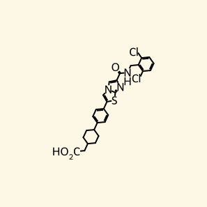 O=C(O)CC1CCC(c2ccc(-c3cn4cc(C(=O)NCc5c(Cl)cccc5Cl)nc4s3)cc2)CC1